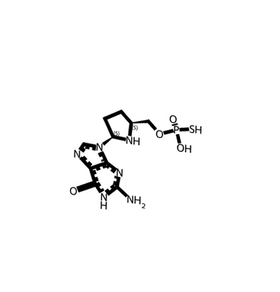 Nc1nc2c(ncn2[C@H]2CC[C@@H](COP(=O)(O)S)N2)c(=O)[nH]1